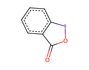 O=C1O[I]c2ccccc21